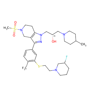 CC1CCN(C[C@H](O)Cn2nc(-c3ccc(C(F)(F)F)c(SCCN4CCCC(F)C4)c3)c3c2CCN(S(C)(=O)=O)C3)CC1